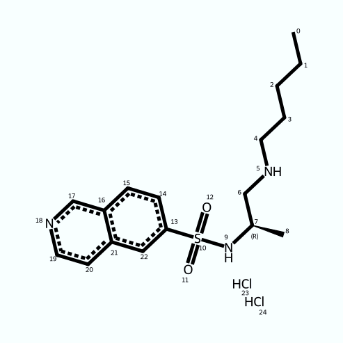 CCCCCNC[C@@H](C)NS(=O)(=O)c1ccc2cnccc2c1.Cl.Cl